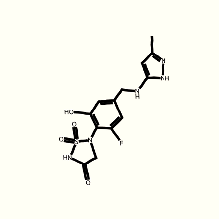 Cc1cc(NCc2cc(O)c(N3CC(=O)NS3(=O)=O)c(F)c2)[nH]n1